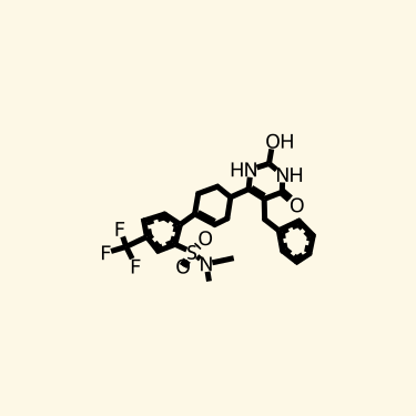 CN(C)S(=O)(=O)c1cc(C(F)(F)F)ccc1C1=CCC(C2=C(Cc3ccccc3)C(=O)NC(O)N2)CC1